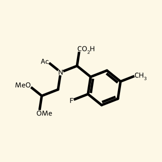 COC(CN(C(C)=O)C(C(=O)O)c1cc(C)ccc1F)OC